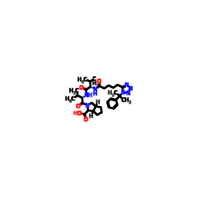 CC(C)[C@H](NC(=O)CCCCc1nnnn1C(C)(C)c1ccccc1)C(=O)N[C@H](C(=O)N1C[C@@H]2CCC[C@@H]2C1C(=O)O)C(C)C